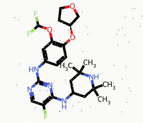 CC1(C)CC(Nc2nc(Nc3ccc(O[C@H]4CCOC4)c(OC(F)F)c3)ncc2F)CC(C)(C)N1